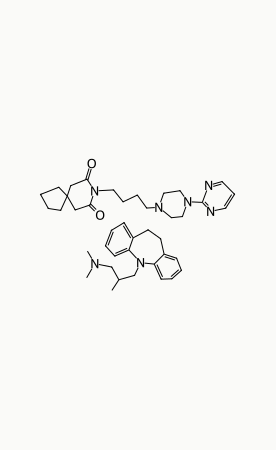 CC(CN(C)C)CN1c2ccccc2CCc2ccccc21.O=C1CC2(CCCC2)CC(=O)N1CCCCN1CCN(c2ncccn2)CC1